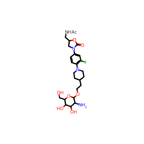 CC(=O)NCC1CN(c2ccc(N3CCC(CCOC4OC(CO)C(O)C(O)C4N)CC3)c(F)c2)C(=O)O1